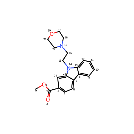 COC(=O)c1ccc2c3ccccc3n(CCN3CCOCC3)c2c1